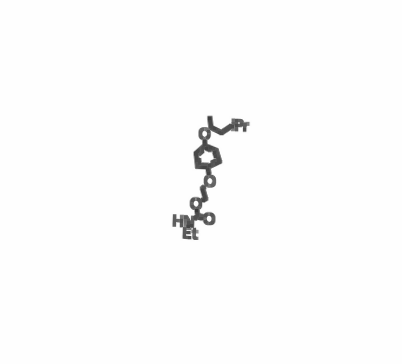 CCNC(=O)OCCOc1ccc(OC(C)CC(C)C)cc1